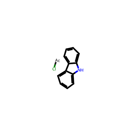 CC(=O)Cl.c1ccc2c(c1)[nH]c1ccccc12